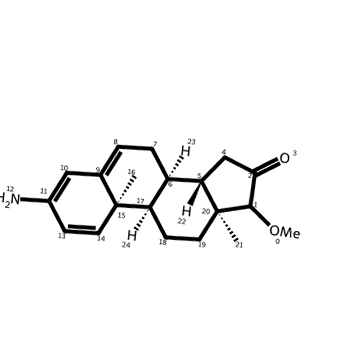 COC1C(=O)C[C@H]2[C@@H]3CC=C4C=C(N)C=C[C@]4(C)[C@@H]3CC[C@]12C